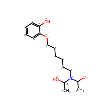 CC(O)N(CCCCCCOc1ccccc1O)C(C)O